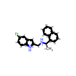 C[C@@H](NCc1cc2cc(F)ccc2[nH]1)c1cccc2ccccc12